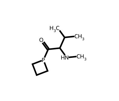 CNC(C(=O)P1CCC1)C(C)C